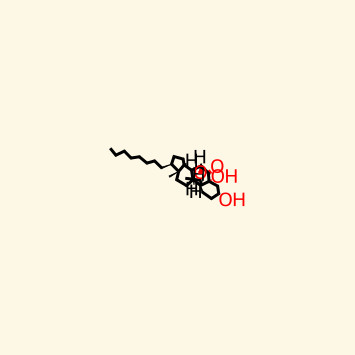 CCCCCCCC[C@H]1CC[C@H]2[C@@H]3[C@H]4O[C@H](C)[C@@]5(CC[C@H](O)C[C@]5(O)C4=O)[C@H]3CC[C@]12C